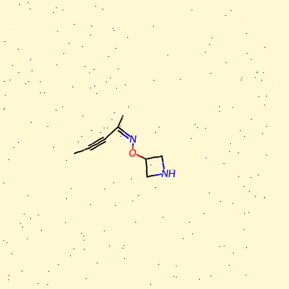 CC#C/C(C)=N\OC1CNC1